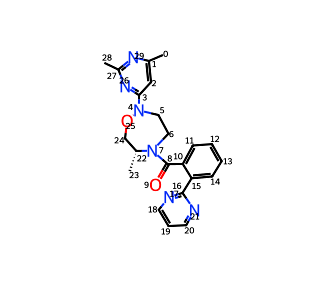 Cc1cc(N2CCN(C(=O)c3ccccc3-c3ncccn3)[C@H](C)CO2)nc(C)n1